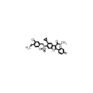 C=Cc1ccc(CN(c2cc3oc(-c4ccc(F)cc4)c(C(=O)NC)c3cc2C2CC2)[SH](=O)=O)cc1Cl